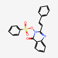 O=c1c2ccccc2nc(/C=C/c2ccccc2)n1OS(=O)(=O)c1ccccc1